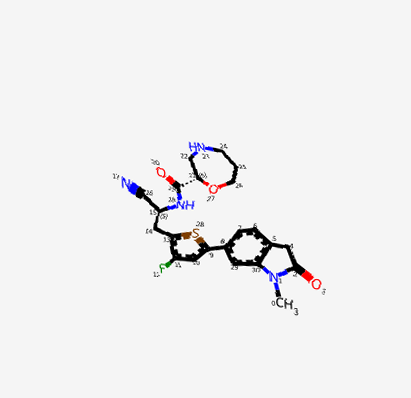 CN1C(=O)Cc2ccc(-c3cc(F)c(C[C@@H](C#N)NC(=O)[C@@H]4CNCCCO4)s3)cc21